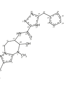 CN1c2cc(C3CC3)nn2CCC(NC(=O)c2nnc(Cc3ccccc3)[nH]2)C1O